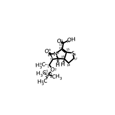 C[C@@H](O[Si](C)(C)C)[C@H]1C(=O)N2C(C(=O)O)=C3SCC[C@@H]3[C@H]12